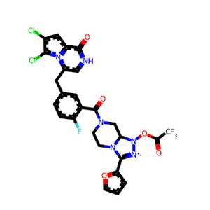 O=C(c1cc(Cc2c[nH]c(=O)c3cc(Cl)c(Cl)n23)ccc1F)N1CCN2C(c3ccco3)=[N+]N(OC(=O)C(F)(F)F)C2C1